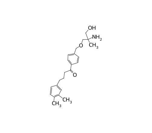 Cc1ccc(CCCC(=O)c2ccc(COCC(C)(N)CO)cc2)cc1C